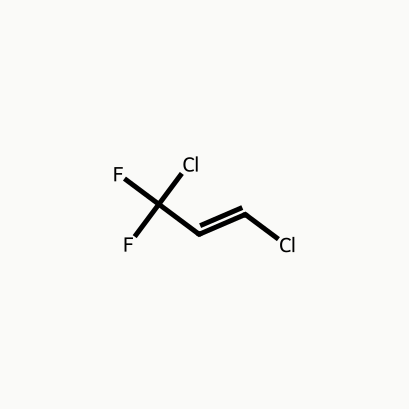 FC(F)(Cl)C=CCl